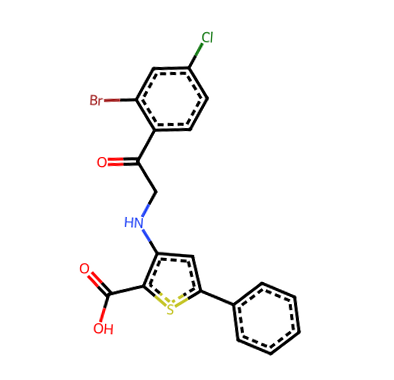 O=C(CNc1cc(-c2ccccc2)sc1C(=O)O)c1ccc(Cl)cc1Br